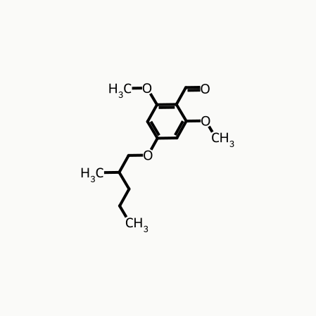 CCCC(C)COc1cc(OC)c(C=O)c(OC)c1